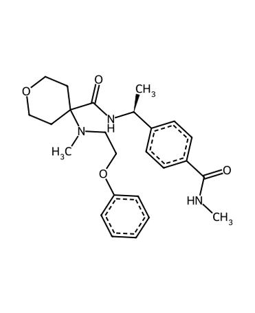 CNC(=O)c1ccc([C@H](C)NC(=O)C2(N(C)CCOc3ccccc3)CCOCC2)cc1